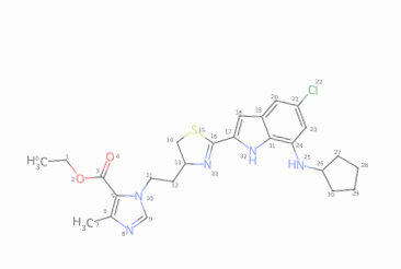 CCOC(=O)c1c(C)ncn1CCC1CSC(c2cc3cc(Cl)cc(NC4CCCC4)c3[nH]2)=N1